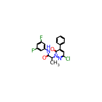 CC(C(=O)Nc1cc(F)cc(F)c1)n1nc(Cl)cc(-c2ccccc2)c1=O